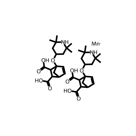 CC1(C)CC(OC23C=CC(C2)C(C(=O)O)C3C(=O)O)CC(C)(C)N1.CC1(C)CC(OC23C=CC(C2)C(C(=O)O)C3C(=O)O)CC(C)(C)N1.[Mn]